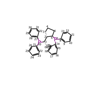 CC(C)[C@@H]([C@@H]1CCC[C@H]1P(c1ccccc1)c1ccccc1)P(c1ccccc1)c1ccccc1